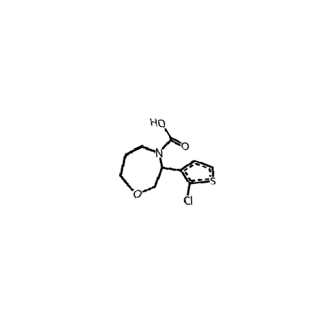 O=C(O)N1CCCOCC1c1ccsc1Cl